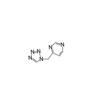 c1cc(Cn2cnnn2)ncn1